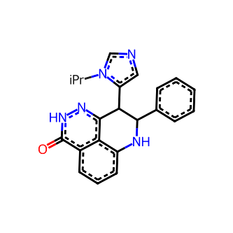 CC(C)n1cncc1C1c2n[nH]c(=O)c3cccc(c23)NC1c1ccccc1